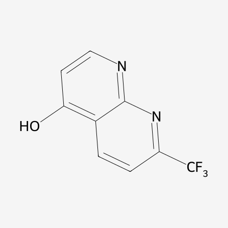 Oc1ccnc2nc(C(F)(F)F)ccc12